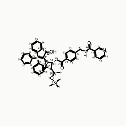 C[C@@H](O[Si](C)(C)C)[C@H]1C(=O)N(C(C(=O)O)=P(c2ccccc2)(c2ccccc2)c2ccccc2)[C@@H]1CC(=O)c1ccc(CNC(=O)c2cccnc2)cc1